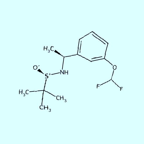 C[C@H](N[S@+]([O-])C(C)(C)C)c1cccc(OC(F)F)c1